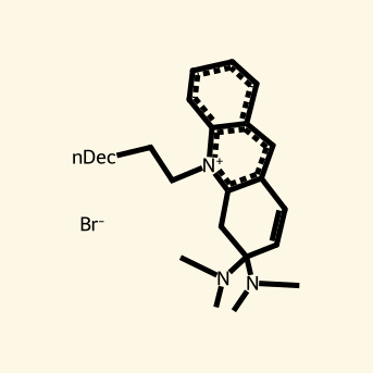 CCCCCCCCCCCC[n+]1c2c(cc3ccccc31)C=CC(N(C)C)(N(C)C)C2.[Br-]